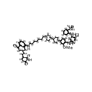 COc1cc(N2CCC(N3CCN(CCCCCCCNc4cccc5c4CC(CCC4CCC(=O)NC4=O)CC5=O)CC3)CC2)ccc1Nc1ncc(Cl)c(Nc2ccccc2P(C)(C)=O)n1